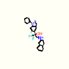 OC(CNc1ccc2ccccc2c1)(c1ccc2c(cnn2-c2ccccc2)c1)C(F)(F)F